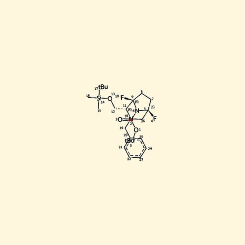 CC(C)(C)OC(=O)N1[C@]2(F)CC[C@@]1(F)[C@@H](CO[Si](C)(C)C(C)(C)C)N(Cc1ccccc1)C2